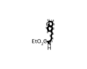 CCOC(=O)C1NC1CCCc1ccc2c(c1)CCCO2